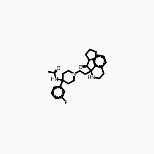 CC(=O)NC1(c2cccc(F)c2)CCN(CCC2(C(=O)C3CCCC3)NCCc3ccccc32)CC1